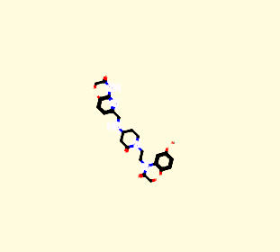 COc1ccc2c(c1)N(CCN1CCC(NCc3ccc4c(n3)NC(=O)CO4)CC1=O)C(=O)CO2